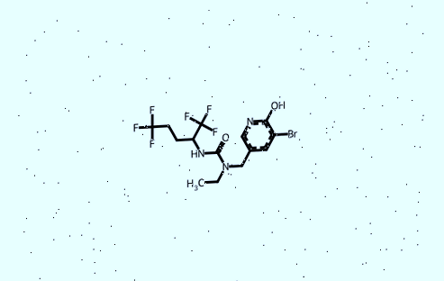 CCN(Cc1cnc(O)c(Br)c1)C(=O)NC(CCC(F)(F)F)C(F)(F)F